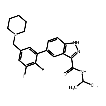 CC(C)NC(=O)c1n[nH]c2ccc(-c3cc(CN4CCCCC4)cc(F)c3F)cc12